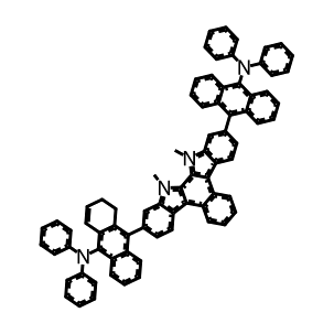 Cn1c2cc(-c3c4c(c(N(c5ccccc5)c5ccccc5)c5ccccc35)C=CCC4)ccc2c2c3ccccc3c3c4ccc(-c5c6ccccc6c(N(c6ccccc6)c6ccccc6)c6ccccc56)cc4n(C)c3c21